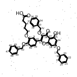 O=C(O)CCCCOc1cc(-c2oc3cc(OCc4ccccc4)cc(O)c3c(=O)c2OCc2ccccc2)ccc1OCc1ccccc1